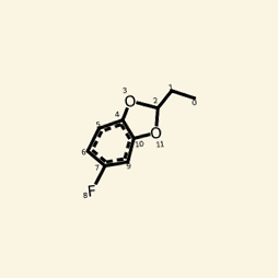 CCC1Oc2ccc(F)cc2O1